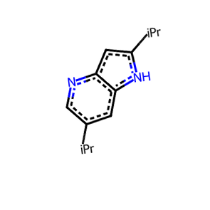 CC(C)c1cnc2cc(C(C)C)[nH]c2c1